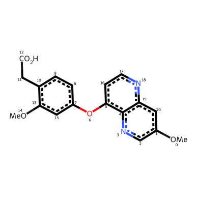 COc1cnc2c(Oc3ccc(CC(=O)O)c(OC)c3)ccnc2c1